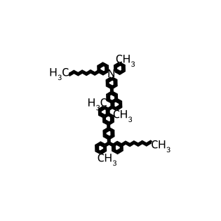 CCCCCCCCc1cccc(C(c2ccc(-c3ccc4c(-c5c(C)ccc6cc(-c7ccc(N(c8cccc(C)c8)c8cccc(CCCCCCCC)c8)cc7)ccc56)c(C)ccc4c3)cc2)c2cccc(C)c2)c1